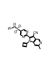 Cc1cc2c(cn1)c(C#N)c(-c1ncc(S(=O)(=O)NC(C)C)cn1)n2C1=CC=C1